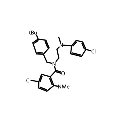 CNc1ccc(Cl)cc1C(=O)N(CCN(C)c1ccc(Cl)cc1)Cc1ccc(C(C)(C)C)cc1